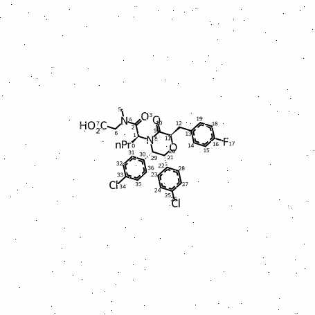 CCC[C@@H](C(=O)N(C)CC(=O)O)N1C(=O)[C@@H](Cc2ccc(F)cc2)O[C@H](c2ccc(Cl)cc2)[C@@H]1c1ccc(Cl)cc1